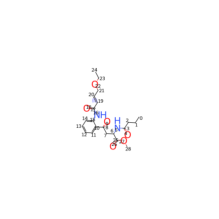 CCCC(=O)NC(CC(=O)c1ccccc1NC(=O)/C=C/COCC)C(=O)OC